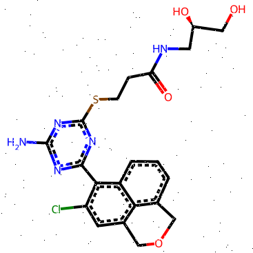 Nc1nc(SCCC(=O)NC[C@@H](O)CO)nc(-c2c(Cl)cc3c4c(cccc24)COC3)n1